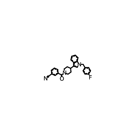 N#Cc1cccc(C(=O)N2CCC(c3cn(Cc4ccc(F)cc4)c4ccccc34)CC2)c1